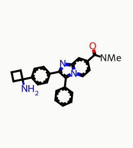 CNC(=O)c1ccn2c(-c3ccccc3)c(-c3ccc(C4(N)CCC4)cc3)nc2c1